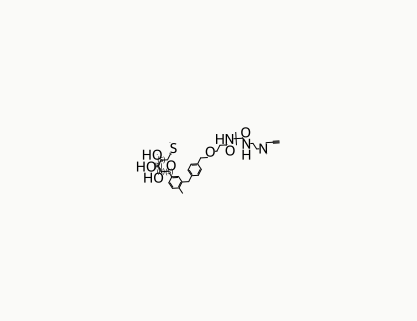 C#CCN(C)CCNC(=O)C(C)(C)NC(=O)CCOCCc1ccc(Cc2cc([C@@H]3OC(C#SC)[C@@H](O)[C@H](O)[C@H]3O)ccc2C)cc1